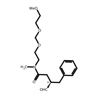 COCCOCOCCN(C)C(=O)C[C@H]([C]=O)Cc1ccccc1